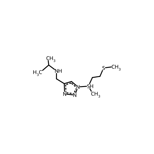 CSCC[SH](C)n1cc(CNC(C)C)nn1